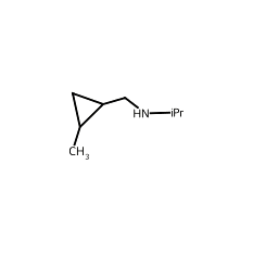 CC(C)NCC1CC1C